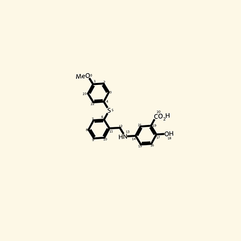 COc1ccc(Sc2ccccc2CNc2ccc(O)c(C(=O)O)c2)cc1